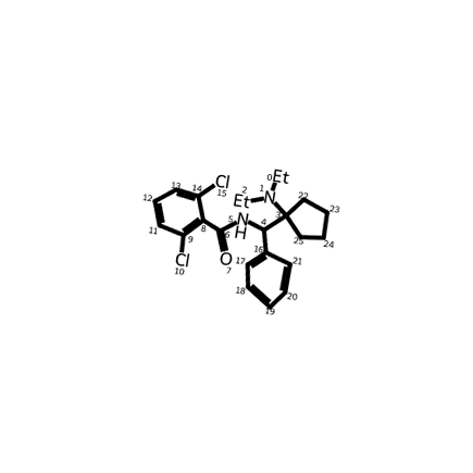 CCN(CC)C1(C(NC(=O)c2c(Cl)cccc2Cl)c2ccccc2)CCCC1